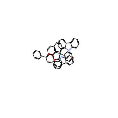 c1ccc(-c2cccc(-c3ccccc3-n3c4ccccc4c4cccc(-n5c6ccccc6c6cccc([Si](c7ccccc7)(c7ccccc7)c7ccccc7)c65)c43)c2)cc1